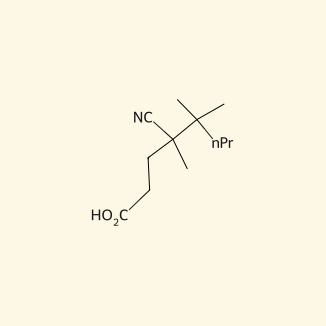 CCCC(C)(C)C(C)(C#N)CCC(=O)O